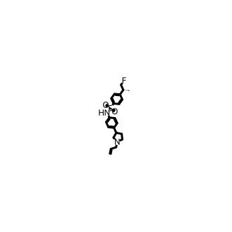 C=CCN1CCC(c2ccc(NS(=O)(=O)c3ccc([C@@H](C)CF)cc3)cc2)C1